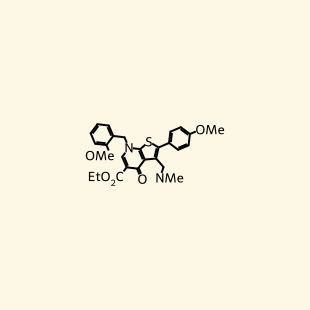 CCOC(=O)c1cn(Cc2ccccc2OC)c2sc(-c3ccc(OC)cc3)c(CNC)c2c1=O